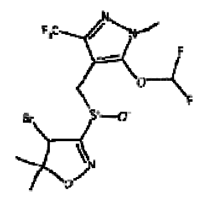 Cn1nc(C(F)(F)F)c(C[S+]([O-])C2=NOC(C)(C)C2Br)c1OC(F)F